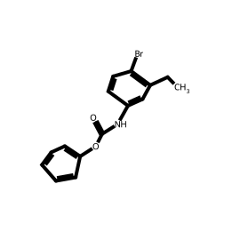 CCc1cc(NC(=O)Oc2ccccc2)ccc1Br